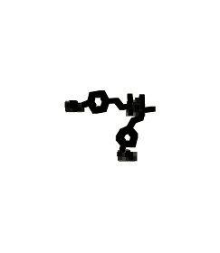 CN([SiH](C)CCc1ccc(C(C)(C)C)cc1)[Si](C)(C)CCc1ccc(C(C)(C)C)cc1